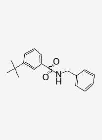 CC(C)(C)c1cccc(S(=O)(=O)NCc2ccccc2)c1